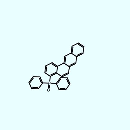 O=P(c1ccccc1)(c1ccccc1)c1cccc2c1ccc1cc3ccccc3cc12